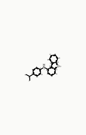 CC(C)c1ccc(Nc2cccc3oc4ccccc4c23)cc1